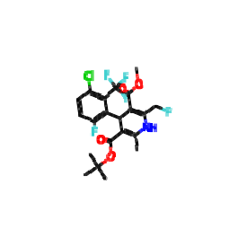 COC(=O)C1=C(CF)NC(C)=C(C(=O)OC(C)(C)C)C1c1c(F)ccc(Cl)c1C(F)(F)F